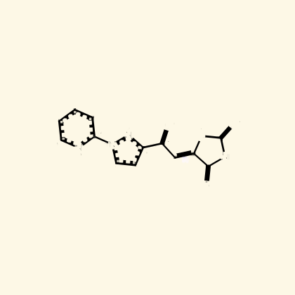 O=C1NC(=S)S/C1=C\C(=O)c1ccn(-c2ccccn2)n1